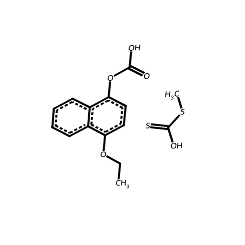 CCOc1ccc(OC(=O)O)c2ccccc12.CSC(O)=S